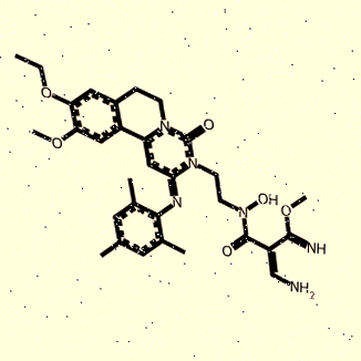 CCOc1cc2c(cc1OC)-c1c/c(=N\c3c(C)cc(C)cc3C)n(CCN(O)C(=O)/C(=C/N)C(=N)OC)c(=O)n1CC2